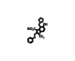 CCOC(=O)c1c(CSc2ccccc2)n(C)c2ccc(O)c(CN3CCCC3)c12